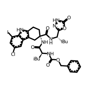 CCC(C)[C@H](NC(=O)OCc1ccccc1)C(=O)N[C@@]1(C(=O)N[C@H](c2n[nH]c(=O)o2)C(C)CC)CCc2[nH]c3c(I)cc(Cl)cc3c2C1